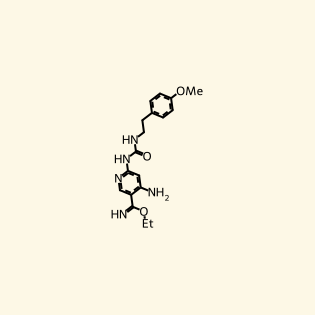 CCOC(=N)c1cnc(NC(=O)NCCc2ccc(OC)cc2)cc1N